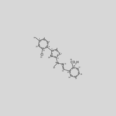 Cc1ccc(-c2csc(N(C)/N=C/c3ccccc3C(=O)O)n2)c(Cl)c1